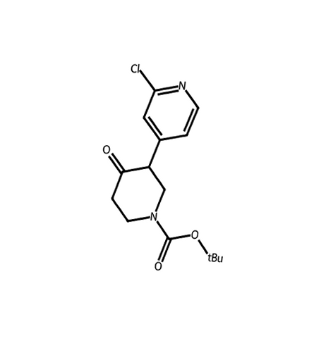 CC(C)(C)OC(=O)N1CCC(=O)C(c2ccnc(Cl)c2)C1